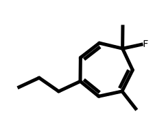 CCCC1=CC(C)=CC(C)(F)C=C1